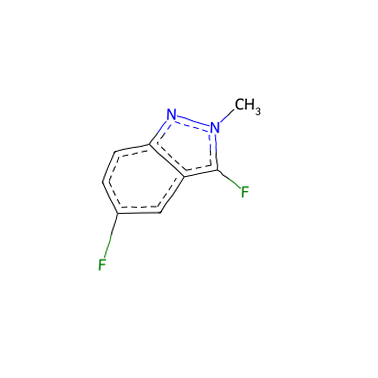 Cn1nc2ccc(F)cc2c1F